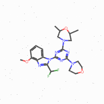 COc1cccc2c1nc(C(F)F)n2-c1nc(N2CCOCC2)nc(N2CC(C)OC(C)C2)n1